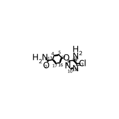 NC(=O)c1ccc(Oc2ncnc(Cl)c2N)cc1